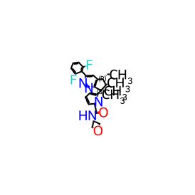 CC[C@H]1c2cc(-c3c(F)cccc3F)nnc2[C@](C)(c2cccc(C(=O)NC3COC3)n2)C1(C)C